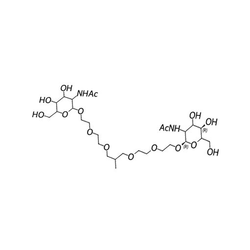 CC(=O)NC1C(OCCOCCOCC(C)COCCOCCO[C@@H]2OC(CO)[C@H](O)C(O)C2NC(C)=O)OC(CO)C(O)C1O